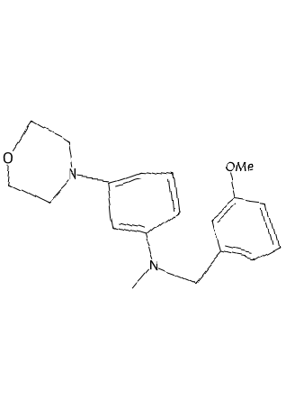 COc1cccc(CN(C)c2cccc(N3CCOCC3)c2)c1